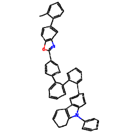 Cc1ccccc1-c1ccc2oc(-c3ccc(-c4ccccc4-c4ccccc4-c4ccc5c(c4)c4c(n5-c5ccccc5)CCC=C4)cc3)nc2c1